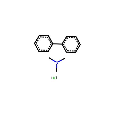 CN(C)C.Cl.c1ccc(-c2ccccc2)cc1